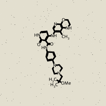 COC(C)(C)CN1CCN(c2ccc(NC(=O)c3c(Nc4cnc5c(c4C)NCCO5)cc[nH]c3=O)cc2)CC1